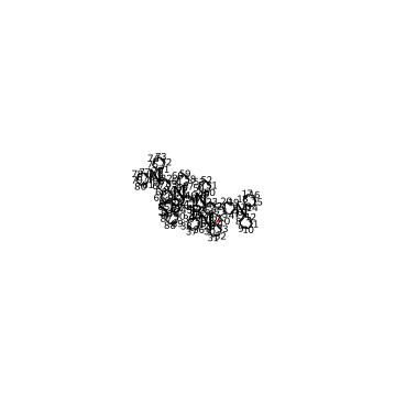 CC1(C)c2cc(N(c3ccccc3)c3ccccc3)ccc2-c2cc3c4c(c21)N(c1ccccc1)c1ccccc1B4c1cc2c(cc1N3c1ccccc1)N(c1ccccc1)c1c3c(cc4cc(N(c5ccccc5)c5ccccc5)ccc14)Sc1ccccc1B23